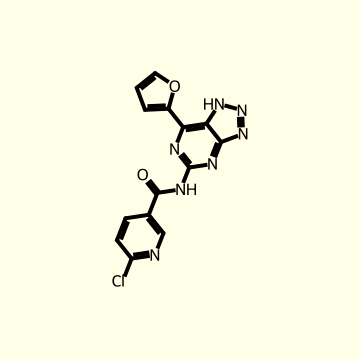 O=C(Nc1nc(-c2ccco2)c2[nH]nnc2n1)c1ccc(Cl)nc1